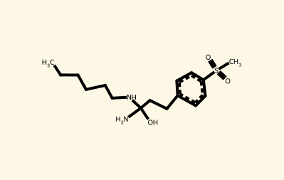 CCCCCCNC(N)(O)CCc1ccc(S(C)(=O)=O)cc1